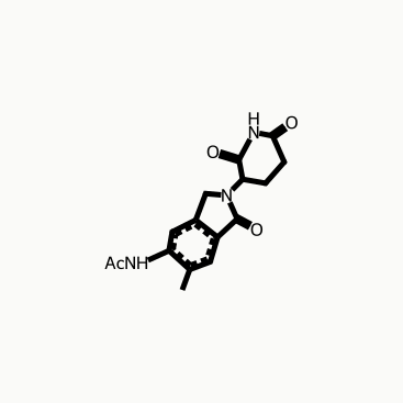 CC(=O)Nc1cc2c(cc1C)C(=O)N(C1CCC(=O)NC1=O)C2